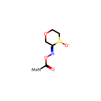 CNC(=O)ON=C1COCC[S+]1[O-]